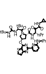 CCC[C@H](NC(=O)[C@@H]1C[C@@H](Oc2nc(-c3cccc(NC(C)C)n3)nc3ccsc23)CN1C(=O)[C@@H](NC(=O)NC(C)(C)C)C(C)(C)C)C(=O)C(=O)NC1CC1